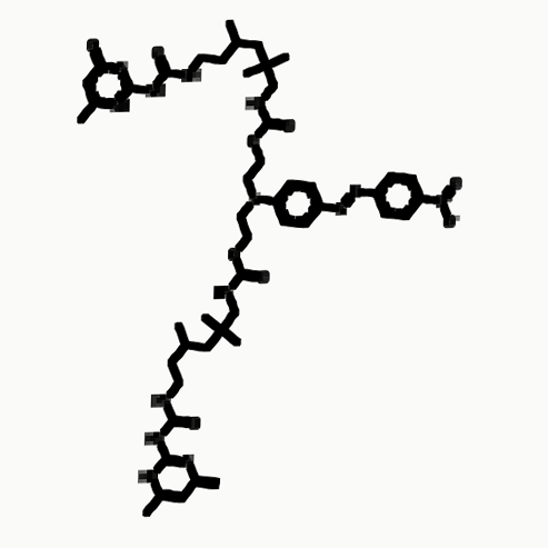 C=C1C=C(C)NC(NC(=O)NCCC(C)CC(C)(C)CNC(=O)OCCN(CCOC(=O)NCC(C)(C)CC(C)CCNC(=O)Nc2nc(=O)cc(C)[nH]2)c2ccc(/N=N/c3ccc([N+](=O)[O-])cc3)cc2)=N1